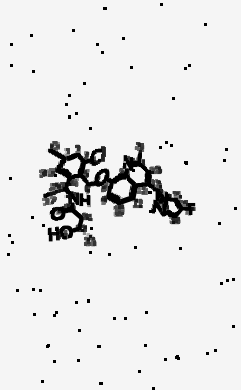 Cc1cc(Cl)c(COc2cccc3c(-n4cc(F)cn4)cc(C)nc23)c([C@H](C)NC(=O)C[C@H](C)O)c1